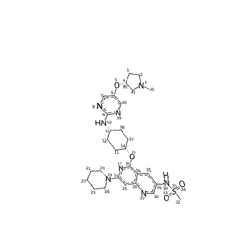 CN1CC[C@@H](Oc2cnc(N[C@H]3CC[C@@H](Oc4nc(N5CCCCC5)cc5ncc(NS(C)(=O)=O)cc45)CC3)nc2)C1